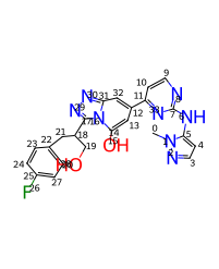 Cn1nccc1Nc1nccc(-c2cc(O)n3c(C(CO)Cc4ccc(F)cc4)nnc3c2)n1